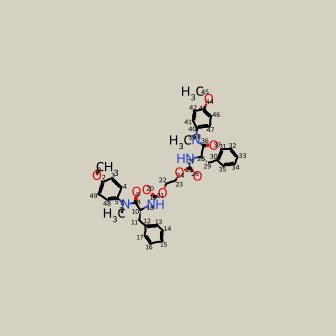 COc1ccc(N(C)C(=O)[C@H](Cc2ccccc2)NC(=O)OCCOC(=O)N[C@@H](Cc2ccccc2)C(=O)N(C)c2ccc(OC)cc2)cc1